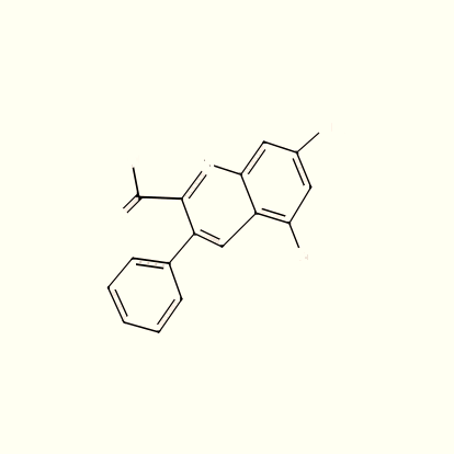 Cc1cc(Br)c2cc(-c3ccccc3)c(C(=O)O)nc2c1